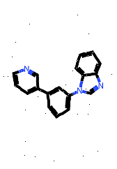 c1cncc(-c2cccc(-n3cnc4ccccc43)c2)c1